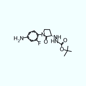 CC(C)(C)OC(=O)NN[C@H]1CCN(c2ccc(N)cc2F)C1=O